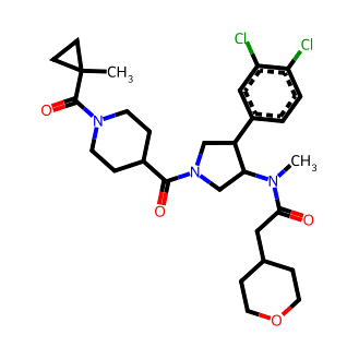 CN(C(=O)CC1CCOCC1)C1CN(C(=O)C2CCN(C(=O)C3(C)CC3)CC2)CC1c1ccc(Cl)c(Cl)c1